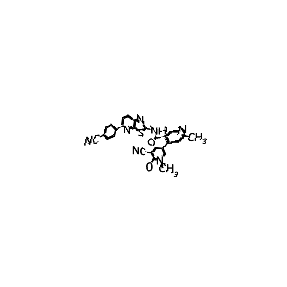 Cc1cc(-c2cc(C#N)c(=O)n(C)c2)c(C(=O)Nc2nc3ccc(-c4ccc(C#N)cc4)nc3s2)cn1